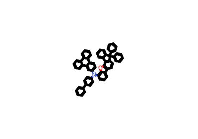 c1ccc(-c2ccc(N(c3ccc4c5ccccc5c5ccccc5c4c3)c3cccc4c3oc3c5c(ccc34)C(c3ccccc3)(c3ccccc3)c3ccccc3-5)cc2)cc1